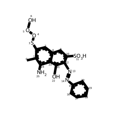 Cc1c(SOOO)cc2cc(S(=O)(=O)O)c(N=Nc3ccccc3)c(O)c2c1N